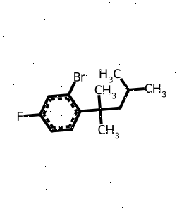 C[C](C)CC(C)(C)c1ccc(F)cc1Br